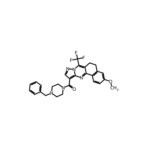 COc1ccc2c(c1)CCc1c-2nc2c(C(=O)N3CCN(Cc4ccccc4)CC3)cnn2c1C(F)(F)F